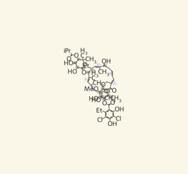 CCc1c(Cl)c(O)c(Cl)c(O)c1C(=O)O[C@H]1[C@H](O)[C@H](OC)[C@H](OC/C2=C\C=C\C[C@H](O)/C(C)=C/[C@H](CC)[C@@H](O[C@@H]3OC(C)(C)[C@@H](OC(=O)C(C)C)[C@H](O)[C@@H]3O)/C(C)=C/C(C)=C/C[C@@H]([C@H](C)O)OC2=O)O[C@@H]1C